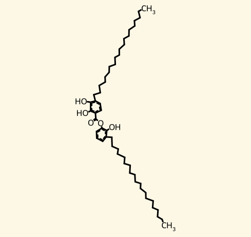 CCCCCCCCCCCCCCCCCCCCc1cccc(OC(=O)c2ccc(CCCCCCCCCCCCCCCCCCCC)c(O)c2O)c1O